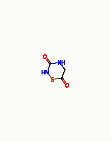 O=C1NCC(=O)SN1